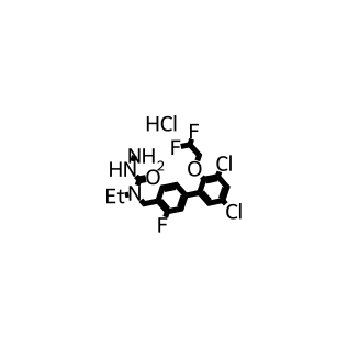 CCN(Cc1ccc(-c2cc(Cl)cc(Cl)c2OCC(F)F)cc1F)C(=O)NN.Cl